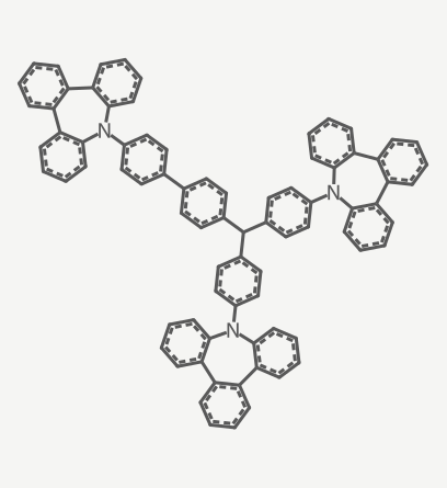 c1ccc2c(c1)-c1ccccc1N(c1ccc(-c3ccc(C(c4ccc(N5c6ccccc6-c6ccccc6-c6ccccc65)cc4)c4ccc(N5c6ccccc6-c6ccccc6-c6ccccc65)cc4)cc3)cc1)c1ccccc1-2